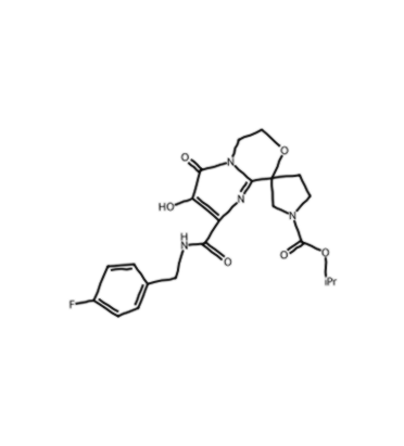 CC(C)OC(=O)N1CCC2(C1)OCCn1c2nc(C(=O)NCc2ccc(F)cc2)c(O)c1=O